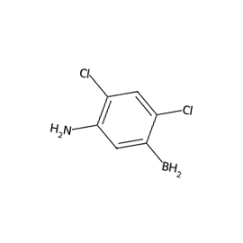 Bc1cc(N)c(Cl)cc1Cl